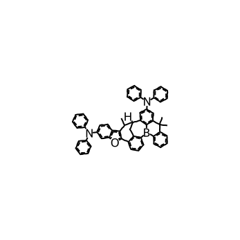 CC1c2c(oc3cc(N(c4ccccc4)c4ccccc4)ccc23)-c2cccc3c2C[C@H]1c1cc(N(c2ccccc2)c2ccccc2)cc2c1B3c1ccccc1C2(C)C